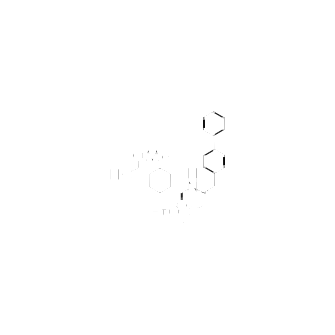 CCOC(=O)C[C@@H](Cc1ccc(-c2ccccc2)cc1)NC(=O)[C@H]1CC[C@@H](C(O)OC)CC1